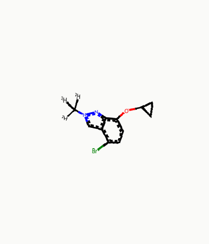 [2H]C([2H])([2H])n1cc2c(Br)ccc(OC3CC3)c2n1